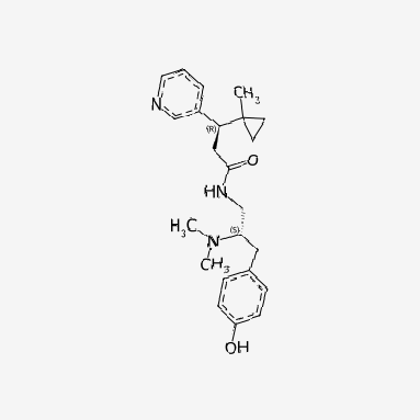 CN(C)[C@H](CNC(=O)C[C@@H](c1cccnc1)C1(C)CC1)Cc1ccc(O)cc1